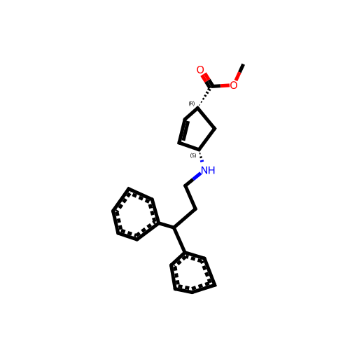 COC(=O)[C@H]1C=C[C@@H](NCCC(c2ccccc2)c2ccccc2)C1